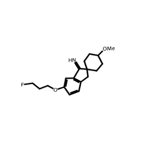 COC1CCC2(CC1)Cc1ccc(OCCCF)cc1C2=N